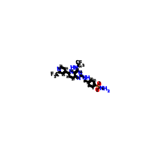 NS(=O)(=O)c1ccc(CNc2nc(NCC(F)(F)F)c3nc(-c4ccnc(C(F)(F)F)c4)ccc3n2)cc1